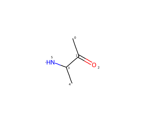 CC(=O)C(C)[NH]